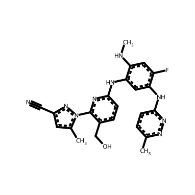 CNc1cc(F)c(Nc2ccc(C)nn2)cc1Nc1ccc(CO)c(-n2nc(C#N)cc2C)n1